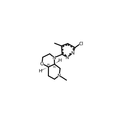 Cc1cc(Cl)nnc1N1CCO[C@@H]2CCN(C)C[C@@H]21